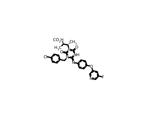 C[C@@H](C(=O)O)[C@H](C)n1c(=O)[nH]/c(=N\c2ccc(Oc3cncc(F)c3)cc2)n(Cc2ccc(Cl)cc2)c1=O